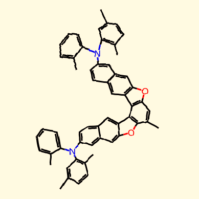 Cc1ccc(C)c(N(c2ccc3cc4c(cc3c2)oc2cc(C)c3oc5cc6cc(N(c7ccccc7C)c7cc(C)ccc7C)ccc6cc5c3c24)c2ccccc2C)c1